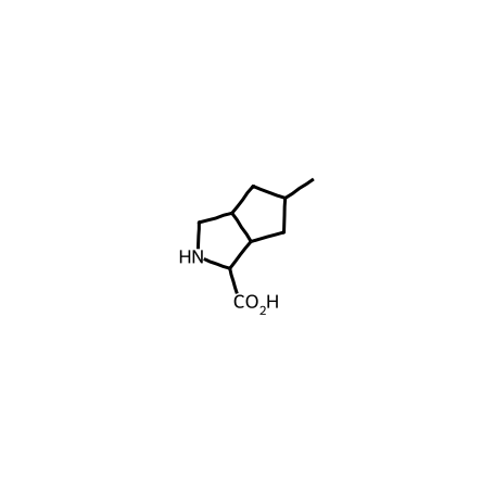 CC1CC2CNC(C(=O)O)C2C1